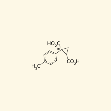 Cc1ccc([C@@]2(C(=O)O)CC2C(=O)O)cc1